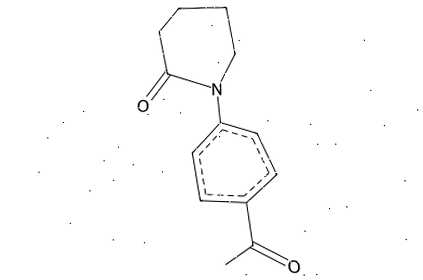 CC(=O)c1ccc(N2CCCCC2=O)cc1